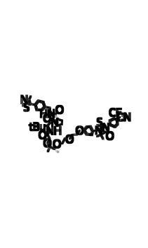 Cc1ncsc1-c1ccc(CNC(=O)[C@@H]2CCCN2C(=O)C(NC(=O)CO[C@H](C)[C@@H](C)OCCOCCOc2ccc(N3C(=S)N(c4ccc(C#N)c(C(F)(F)F)c4)C(=O)C3(C)C)cc2)C(C)(C)C)cc1